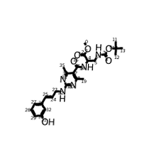 COC(=O)C(CNC(=O)OC(C)(C)C)NC(=O)c1c(C)nc(NCC=Cc2cccc(O)c2)nc1C